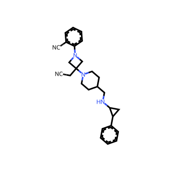 N#CCC1(N2CCC(CNC3CC3c3ccccc3)CC2)CN(c2ccccc2C#N)C1